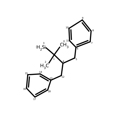 CC(C)([SiH2])C(Cc1ccccc1)Cc1ccccc1